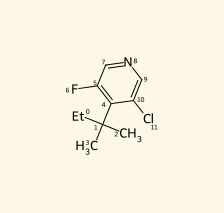 CCC(C)(C)c1c(F)cncc1Cl